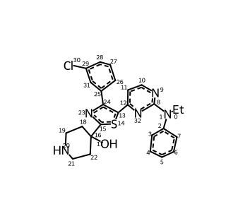 CCN(c1ccccc1)c1nccc(-c2sc(C3(O)CCNCC3)nc2-c2cccc(Cl)c2)n1